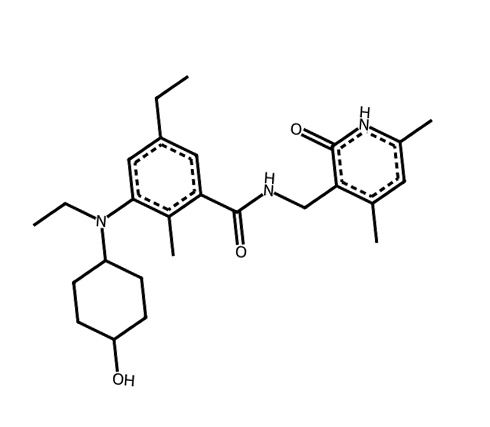 CCc1cc(C(=O)NCc2c(C)cc(C)[nH]c2=O)c(C)c(N(CC)C2CCC(O)CC2)c1